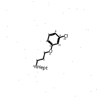 [CH2]CCCCCCCCCOc1cccc(Cl)c1